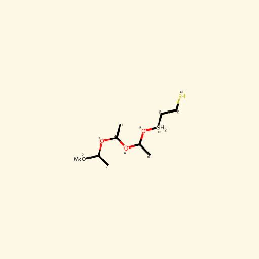 COC(C)OC(C)OC(C)O[SiH2]CCS